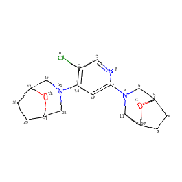 Clc1cnc(N2CC3CCC(C2)O3)cc1N1CC2CCC(C1)O2